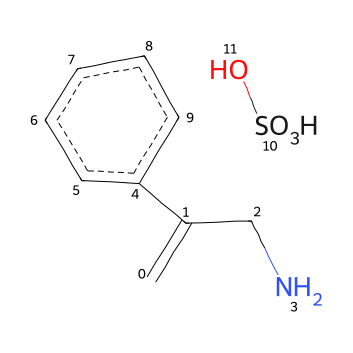 C=C(CN)c1ccccc1.O=S(=O)(O)O